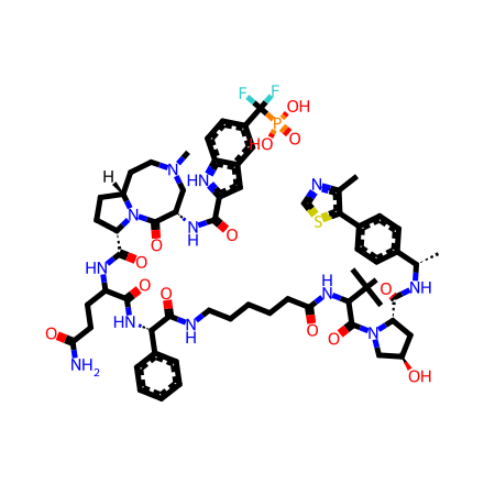 Cc1ncsc1-c1ccc([C@H](C)NC(=O)[C@@H]2C[C@@H](O)CN2C(=O)C(NC(=O)CCCCCNC(=O)[C@@H](NC(=O)C(CCC(N)=O)NC(=O)[C@@H]2CC[C@@H]3CCN(C)C[C@H](NC(=O)c4cc5cc(C(F)(F)P(=O)(O)O)ccc5[nH]4)C(=O)N32)c2ccccc2)C(C)(C)C)cc1